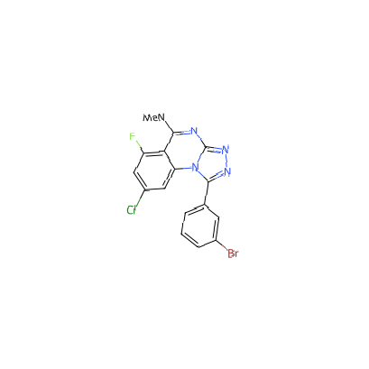 CNc1nc2nnc(-c3cccc(Br)c3)n2c2cc(Cl)cc(F)c12